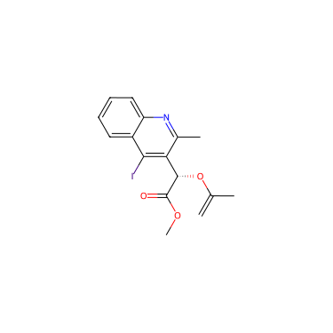 C=C(C)O[C@H](C(=O)OC)c1c(C)nc2ccccc2c1I